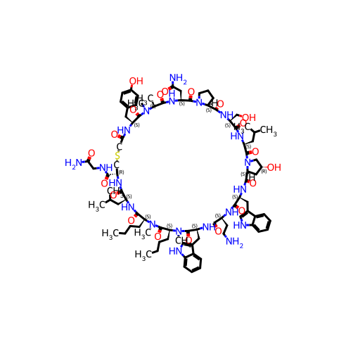 CCCC[C@H]1C(=O)N(C)[C@@H](CCCC)C(=O)N[C@@H](CC(C)C)C(=O)N[C@H](C(=O)NCC(N)=O)CSCC(=O)N[C@@H](Cc2ccc(O)cc2)C(=O)N(C)[C@@H](C)C(=O)N[C@@H](CC(N)=O)C(=O)N2CCC[C@H]2C(=O)N[C@@H](CO)C(=O)N[C@@H](CC(C)C)C(=O)N2C[C@H](O)C[C@H]2C(=O)N[C@@H](Cc2c[nH]c3ccccc23)C(=O)N[C@@H](CCN)C(=O)N[C@@H](Cc2c[nH]c3ccccc23)C(=O)N1C